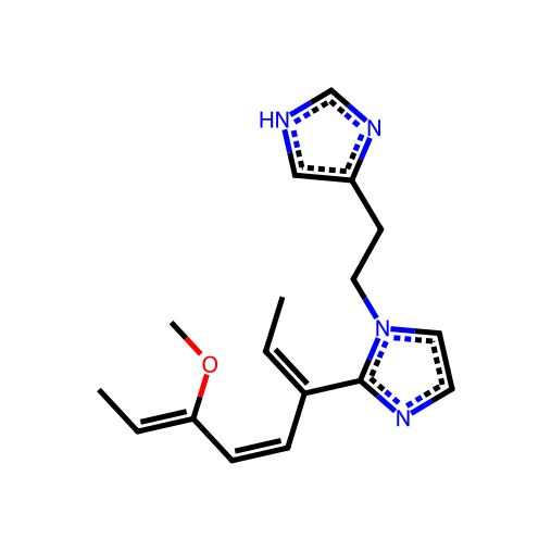 C/C=C(/C=C\C(=C\C)c1nccn1CCc1c[nH]cn1)OC